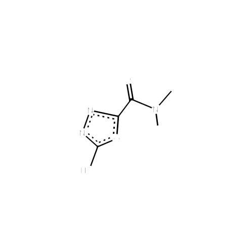 CN(C)C(=O)c1nnc(S)o1